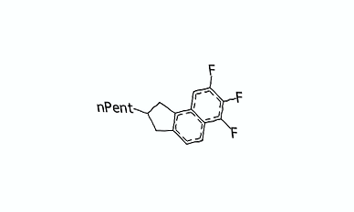 CCCCCC1Cc2ccc3c(F)c(F)c(F)cc3c2C1